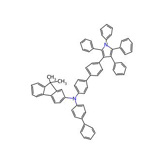 CC1(C)c2ccccc2-c2ccc(N(c3ccc(-c4ccccc4)cc3)c3ccc(-c4ccc(-c5c(-c6ccccc6)c(-c6ccccc6)n(-c6ccccc6)c5-c5ccccc5)cc4)cc3)cc21